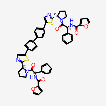 O=C(N[C@H](C(=O)N1CCC[C@H]1c1ncc(-c2ccc(-c3ccc(-c4cnc([C@@H]5CCCN5C(=O)[C@H](NC(=O)c5ccco5)c5ccccc5)s4)cc3)cc2)s1)c1ccccc1)c1ccco1